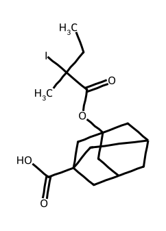 CCC(C)(I)C(=O)OC12CC3CC(C1)CC(C(=O)O)(C3)C2